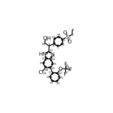 CCS(=O)(=O)c1ccc(C(CO)c2nc3cc(-c4ccccc4OC(F)(F)F)c(Cl)cc3[nH]2)cc1